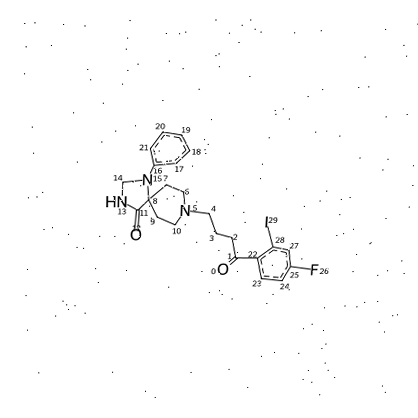 O=C(CCCN1CCC2(CC1)C(=O)NCN2c1ccccc1)c1ccc(F)cc1I